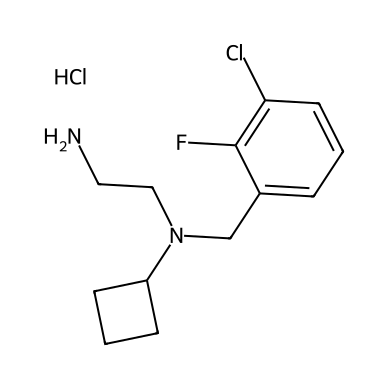 Cl.NCCN(Cc1cccc(Cl)c1F)C1CCC1